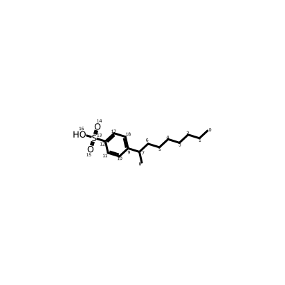 CCCCCCCC(C)c1ccc(S(=O)(=O)O)cc1